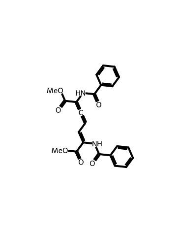 COC(=O)C(=C=C/C=C(\NC(=O)c1ccccc1)C(=O)OC)NC(=O)c1ccccc1